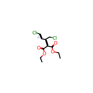 CCOC(=O)C(C(=O)OCC)=C(/C=C/Cl)CCl